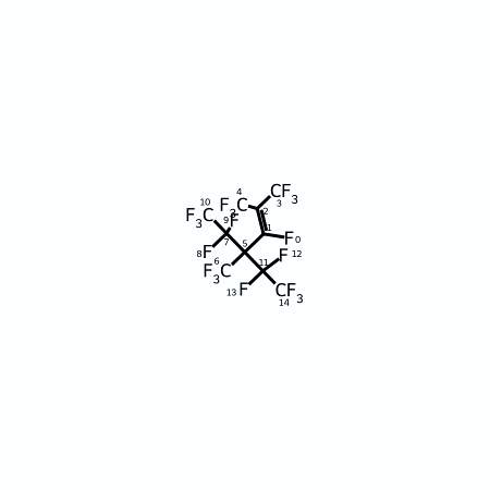 FC(=C(C(F)(F)F)C(F)(F)F)C(C(F)(F)F)(C(F)(F)C(F)(F)F)C(F)(F)C(F)(F)F